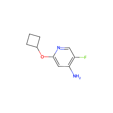 Nc1cc(OC2CCC2)ncc1F